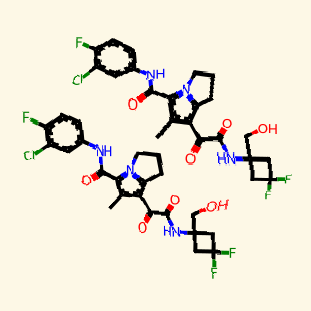 Cc1c(C(=O)C(=O)NC2(CO)CC(F)(F)C2)c2n(c1C(=O)Nc1ccc(F)c(Cl)c1)CCC2.Cc1c(C(=O)C(=O)NC2(CO)CC(F)(F)C2)c2n(c1C(=O)Nc1ccc(F)c(Cl)c1)CCC2